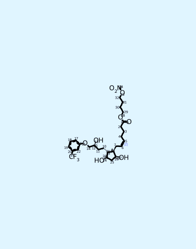 O=C(CCC/C=C\C[C@@H]1[C@@H](CC[C@@H](O)COc2cccc(C(F)(F)F)c2)[C@H](O)C[C@@H]1O)OCCCCO[N+](=O)[O-]